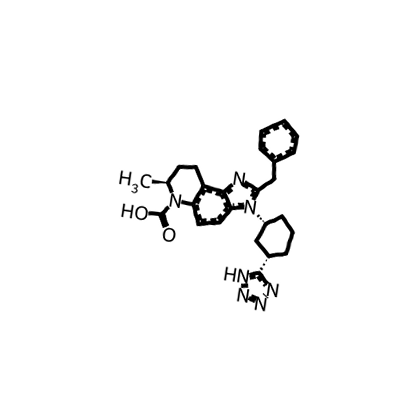 C[C@H]1CCc2c(ccc3c2nc(Cc2ccccc2)n3[C@@H]2CCC[C@H](c3nnn[nH]3)C2)N1C(=O)O